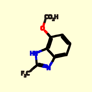 O=C(O)Oc1cccc2nc(C(F)(F)F)[nH]c12